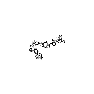 Cc1cnc(Nc2ccc(N3CCC(N(C)Cc4cccc(NC5CCC(=O)NC5=O)c4)CC3)cc2)nc1Nc1cccc(S(=O)(=O)NC(C)(C)C)c1